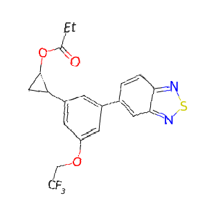 CCC(=O)OC1CC1c1cc(OCC(F)(F)F)cc(-c2ccc3nsnc3c2)c1